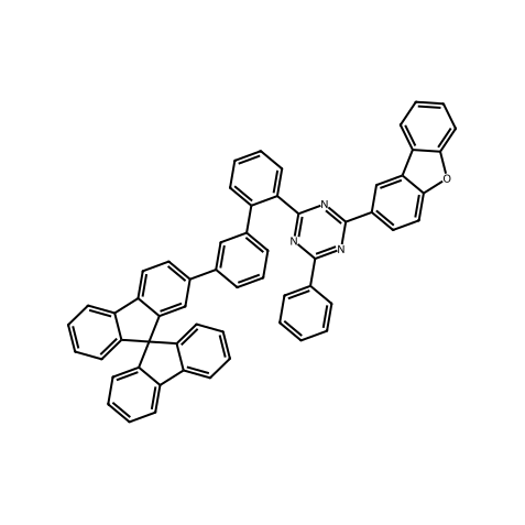 c1ccc(-c2nc(-c3ccc4oc5ccccc5c4c3)nc(-c3ccccc3-c3cccc(-c4ccc5c(c4)C4(c6ccccc6-c6ccccc64)c4ccccc4-5)c3)n2)cc1